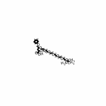 C=C(CC(COc1ccccc1)OCCOCCOCCOCCOCCOCCOC(C)(C)C)C(=O)O